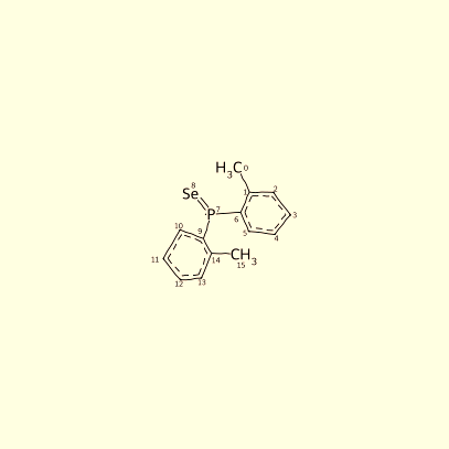 Cc1ccccc1[P](=[Se])c1ccccc1C